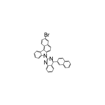 Brc1ccc2c(ccc3c2c2ccccc2n3-c2nc(-c3ccc4ccccc4c3)c3ccccc3n2)c1